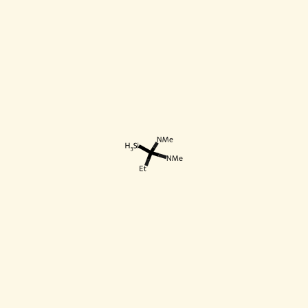 CCC([SiH3])(NC)NC